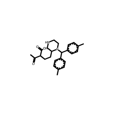 CC(=O)C(CCC1CNCCN1C(c1ccc(C)cc1)c1ccc(C)cc1)C(=O)O